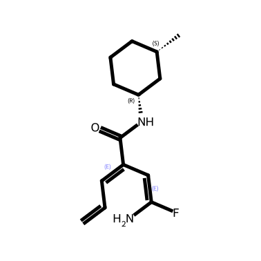 C=C/C=C(\C=C(/N)F)C(=O)N[C@@H]1CCC[C@H](C)C1